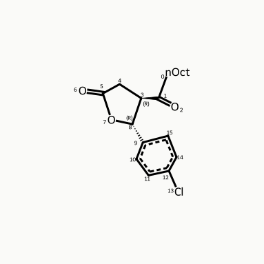 CCCCCCCCC(=O)[C@@H]1CC(=O)O[C@H]1c1ccc(Cl)cc1